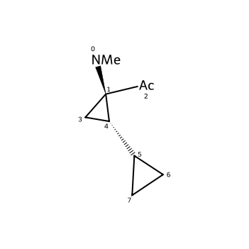 CN[C@]1(C(C)=O)C[C@H]1C1CC1